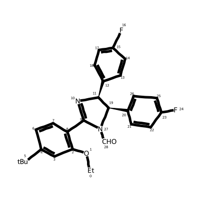 CCOc1cc(C(C)(C)C)ccc1C1=N[C@@H](c2ccc(F)cc2)[C@@H](c2ccc(F)cc2)N1C=O